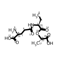 CC[C@H](NC(=O)CC[C@H](N)C(=O)O)C(=O)O[C@@H](C)C(=O)O